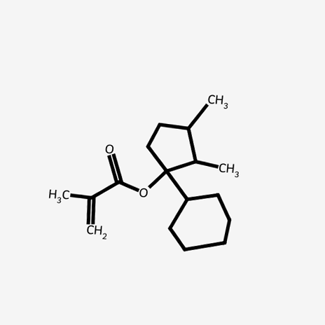 C=C(C)C(=O)OC1(C2CCCCC2)CCC(C)C1C